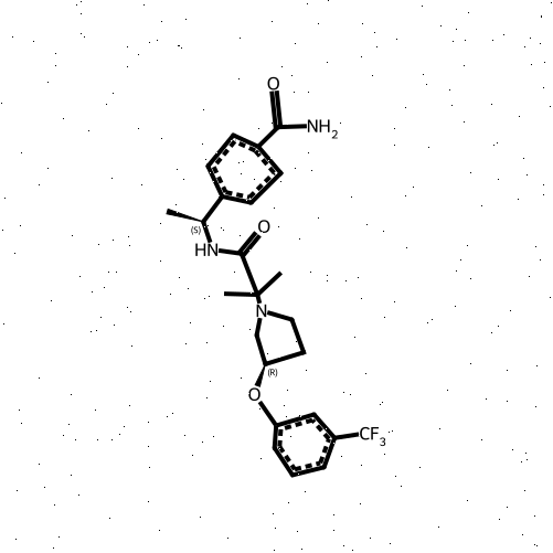 C[C@H](NC(=O)C(C)(C)N1CC[C@@H](Oc2cccc(C(F)(F)F)c2)C1)c1ccc(C(N)=O)cc1